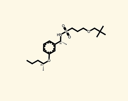 CCC[C@@H](C)Oc1cccc([C@@H](C)NS(=O)(=O)CCCOCC(C)(C)C)c1